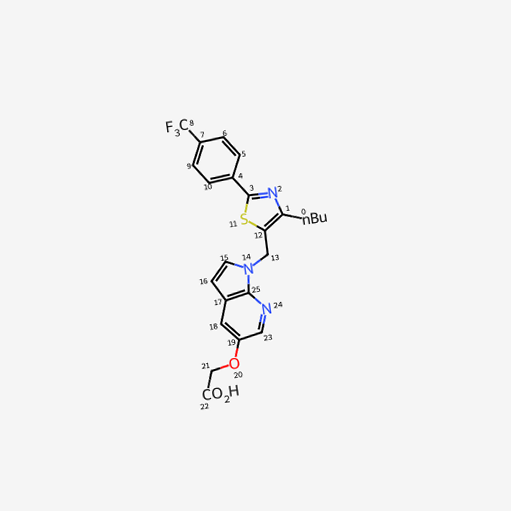 CCCCc1nc(-c2ccc(C(F)(F)F)cc2)sc1Cn1ccc2cc(OCC(=O)O)cnc21